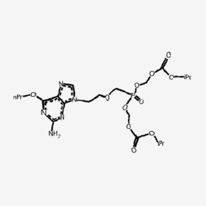 CCCOc1nc(N)nc2c1ncn2CCOCP(=O)(OCOC(=O)OC(C)C)OCOC(=O)OC(C)C